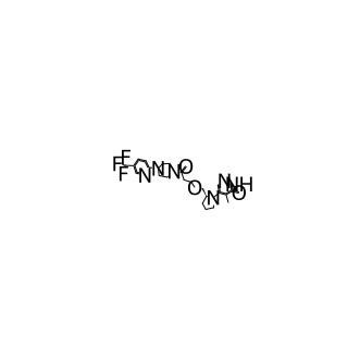 Cc1c(N2CCC[C@H]2COCCC(=O)N2CCN(c3ccc(C(F)(F)F)cn3)CC2)cn[nH]c1=O